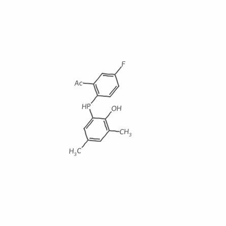 CC(=O)c1cc(F)ccc1Pc1cc(C)cc(C)c1O